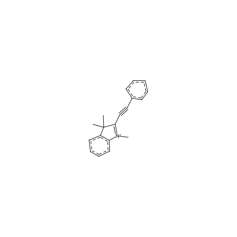 C[N+]1=C(C#Cc2ccccc2)C(C)(C)c2ccccc21